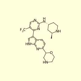 C[C@H]1C[C@H](Nc2ncc(C(F)(F)F)c(-c3c[nH]c4nc(C5CNCCO5)ccc34)n2)CCN1